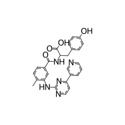 Cc1ccc(C(=O)NC(Cc2ccc(O)cc2)C(=O)O)cc1Nc1nccc(-c2cccnc2)n1